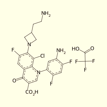 NCCC1CN(c2c(F)cc3c(=O)c(C(=O)O)cn(-c4cc(N)c(F)cc4F)c3c2Cl)C1.O=C(O)C(F)(F)F